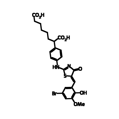 COc1cc(Br)cc(/C=C2\SC(Nc3ccc(C(CCCCCC(=O)O)C(=O)O)cc3)=NC2=O)c1O